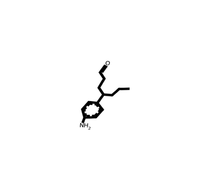 CCCC(CCC=O)c1ccc(N)cc1